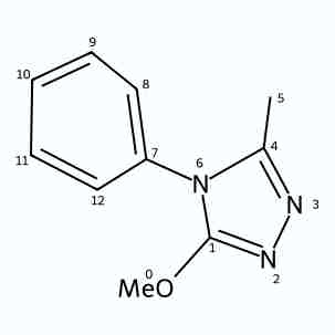 COc1nnc(C)n1-c1ccccc1